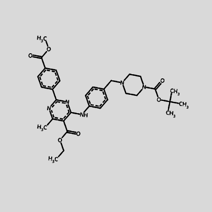 CCOC(=O)c1c(C)nc(-c2ccc(C(=O)OC)cc2)nc1Nc1ccc(CN2CCN(C(=O)OC(C)(C)C)CC2)cc1